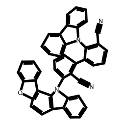 N#Cc1cccc(-c2cccc(-n3c4ccccc4c4ccc5oc6ccccc6c5c43)c2C#N)c1-n1c2ccccc2c2ccccc21